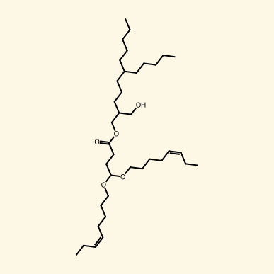 C[CH]CCCC(CCCCC)CCCC(CO)COC(=O)CCC(OCCCC/C=C\CC)OCCCC/C=C\CC